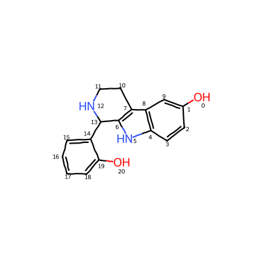 Oc1ccc2[nH]c3c(c2c1)CCNC3c1ccccc1O